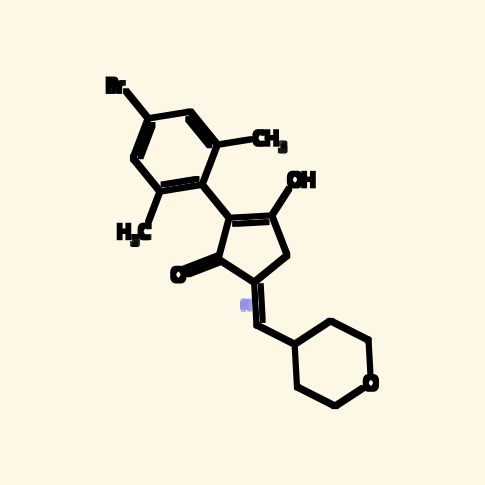 Cc1cc(Br)cc(C)c1C1=C(O)C/C(=C\C2CCOCC2)C1=O